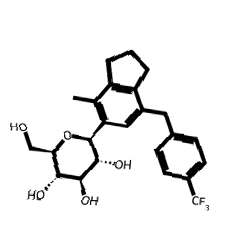 Cc1c([C@@H]2O[C@H](CO)[C@@H](O)[C@H](O)[C@H]2O)cc(Cc2ccc(C(F)(F)F)cc2)c2c1CCC2